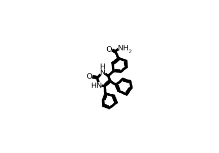 NC(=O)c1cccc(C2NC(=O)NC(c3ccccc3)=C2c2ccccc2)c1